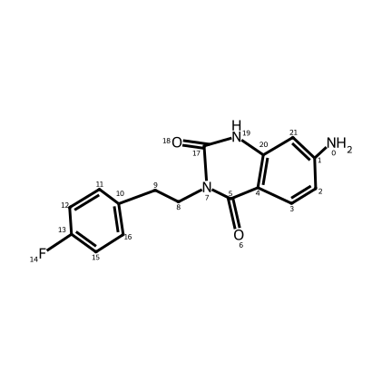 Nc1ccc2c(=O)n(CCc3ccc(F)cc3)c(=O)[nH]c2c1